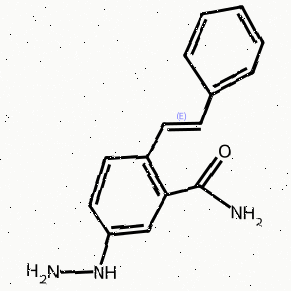 NNc1ccc(/C=C/c2ccccc2)c(C(N)=O)c1